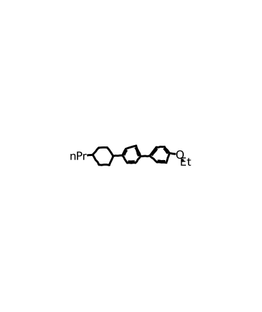 CCCC1CCC(c2ccc(-c3ccc(OCC)cc3)cc2)CC1